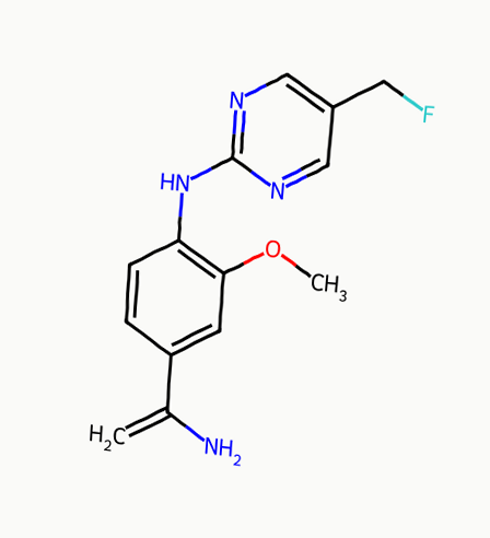 C=C(N)c1ccc(Nc2ncc(CF)cn2)c(OC)c1